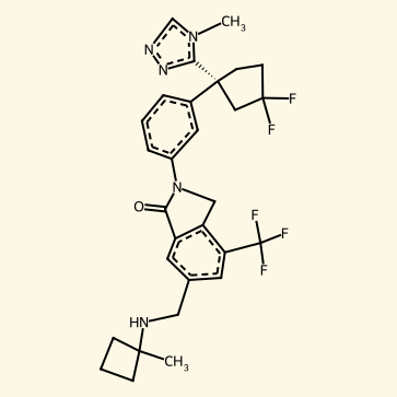 Cn1cnnc1[C@]1(c2cccc(N3Cc4c(cc(CNC5(C)CCC5)cc4C(F)(F)F)C3=O)c2)CCC(F)(F)C1